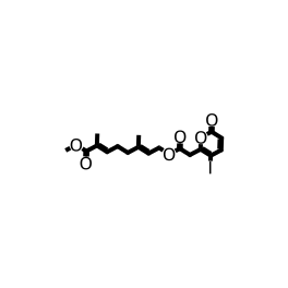 COC(=O)/C(C)=C/CC/C(C)=C/COC(=O)Cc1oc(=O)ccc1I